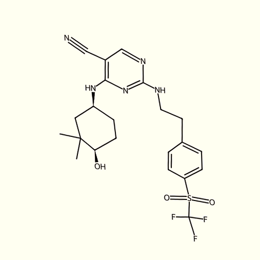 CC1(C)C[C@@H](Nc2nc(NCCc3ccc(S(=O)(=O)C(F)(F)F)cc3)ncc2C#N)CC[C@H]1O